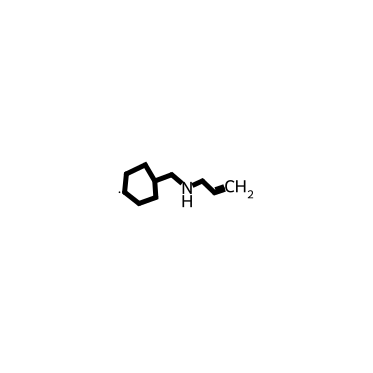 C=CCNCC1CC[CH]CC1